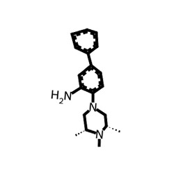 C[C@@H]1CN(c2ccc(-c3ccccc3)cc2N)C[C@H](C)N1C